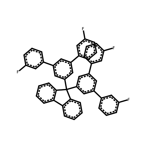 Fc1cccc(-c2cc(-c3cccc(F)c3)cc(C3(c4cc(-c5cccc(F)c5)cc(-c5cccc(F)c5)c4)c4ccccc4-c4ccccc43)c2)c1